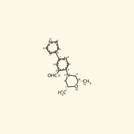 C[C@@H]1CN(c2cnc(-c3ccncc3)cc2C=O)C[C@H](C)O1